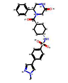 Cn1cc(-c2ccc(S(=O)(=O)N[C@H]3CC[C@H](C(=O)N4CC(=O)NC[C@@H]4c4ccccc4)CC3)cc2)cn1